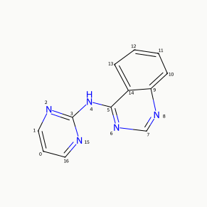 c1cnc(Nc2ncnc3ccccc23)nc1